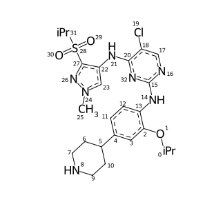 CC(C)Oc1cc(C2CCNCC2)ccc1Nc1ncc(Cl)c(Nc2cn(C)nc2S(=O)(=O)C(C)C)n1